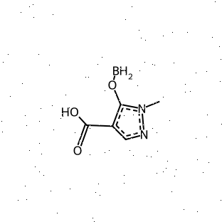 BOc1c(C(=O)O)cnn1C